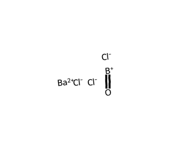 [B+]=O.[Ba+2].[Cl-].[Cl-].[Cl-]